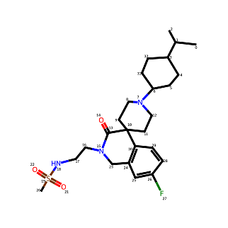 CC(C)C1CCC(N2CCC3(CC2)C(=O)N(CCNS(C)(=O)=O)Cc2cc(F)ccc23)CC1